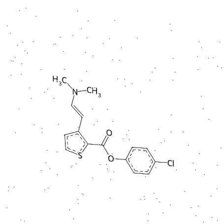 CN(C)C=Cc1ccsc1C(=O)Oc1ccc(Cl)cc1